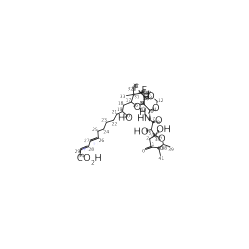 C=C1C[C@](O)(C(O)C(=O)NC2OCO[C@H]3[C@@H]2OC(CC(O)CCCCC/C=C/C=C/C(=O)O)C(C)(C)C3(F)F)OC(C)C1C